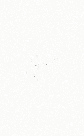 CCCC1OC1CN(CC(O)CC)CC(O)CC